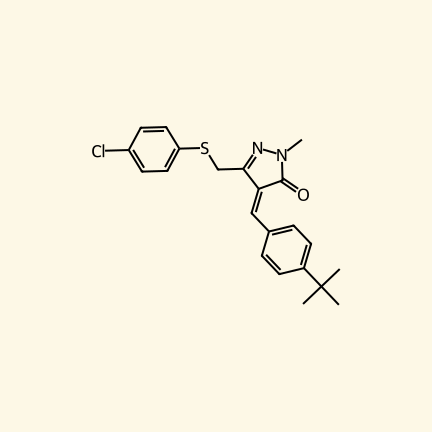 CN1N=C(CSc2ccc(Cl)cc2)C(=Cc2ccc(C(C)(C)C)cc2)C1=O